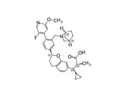 COc1cc(-c2ccc([C@@H]3CCc4ccc([C@H](C5CC5)[C@H](C)C(=O)O)cc4O3)cc2CN2C[C@H]3CC[C@@H]2C3)c(F)cn1